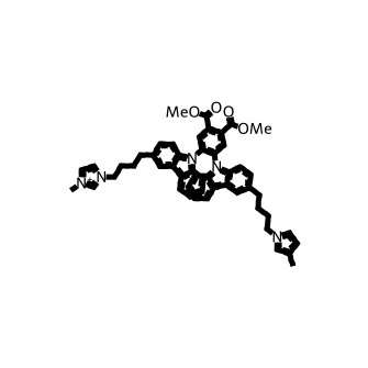 COC(=O)c1cc(-n2c3ccccc3c3cc(CCCCn4ccc(C)c4)ccc32)c(-n2c3ccccc3c3cc(CCCCn4cc[n+](C)c4)ccc32)cc1C(=O)OC